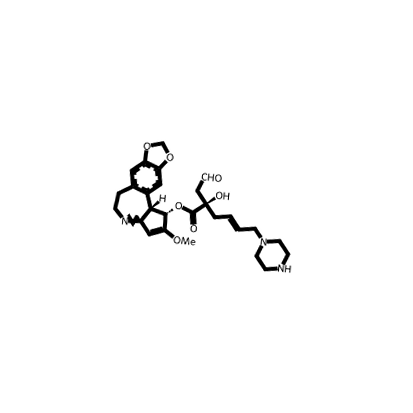 COC1=C[C@]23CCCN2CCc2cc4c(cc2[C@@H]3[C@@H]1OC(=O)[C@](O)(CC=O)C/C=C/CN1CCNCC1)OCO4